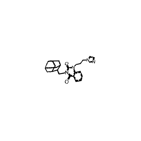 O=c1c2ccccc2n(CCCn2ccnc2)c(=O)n1CC1C2CC3CC(C2)CC1C3